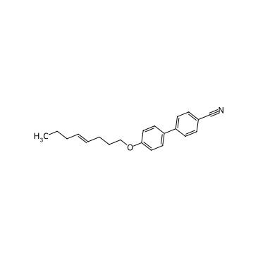 CCC/C=C/CCCOc1ccc(-c2ccc(C#N)cc2)cc1